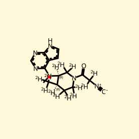 [2H]C([2H])([N+]#[C-])C(=O)N1C([2H])([2H])C([2H])([2H])[C@@]([2H])(C([2H])([2H])[2H])[C@@]([2H])(N(C)c2ncnc3[nH]ccc23)C1([2H])[2H]